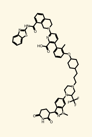 Cc1c(OC2CCC(CCCN3CCN(c4ccc5c(C6CCC(=O)NC6=O)nn(C)c5c4)C(C(F)(F)F)C3)CC2)cccc1-c1ccc(N2CCc3cccc(C(=O)Nc4nc5ccccc5s4)c3C2)nc1C(=O)O